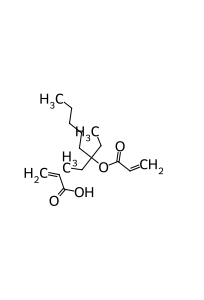 C=CC(=O)O.C=CC(=O)OC(CC)(CC)CCCCC